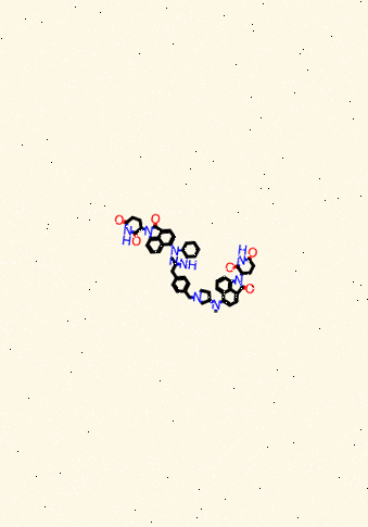 CC(Cc1ccc(CN2CCC(N(C)c3ccc4c5c(cccc35)N(C3CCC(=O)NC3=O)C4=O)C2)cc1)N[C@H]1CCCC[C@@H]1Nc1ccc2c3c(cccc13)N(C1CCC(=O)NC1=O)C2=O